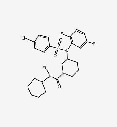 CCN(C(=O)N1CCCC(N(c2cc(F)ccc2F)S(=O)(=O)c2ccc(Cl)cc2)C1)C1CCCCC1